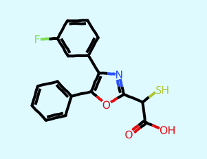 O=C(O)C(S)c1nc(-c2cccc(F)c2)c(-c2ccccc2)o1